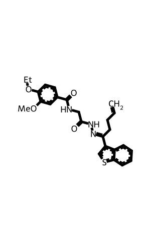 C=CCC/C(=N\NC(=O)CNC(=O)c1ccc(OCC)c(OC)c1)c1csc2ccccc12